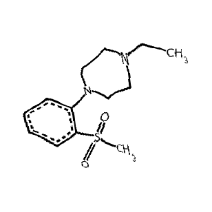 CCN1CCN(c2ccccc2S(C)(=O)=O)CC1